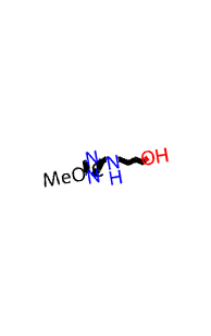 COc1cnc(CNCCCCO)cn1